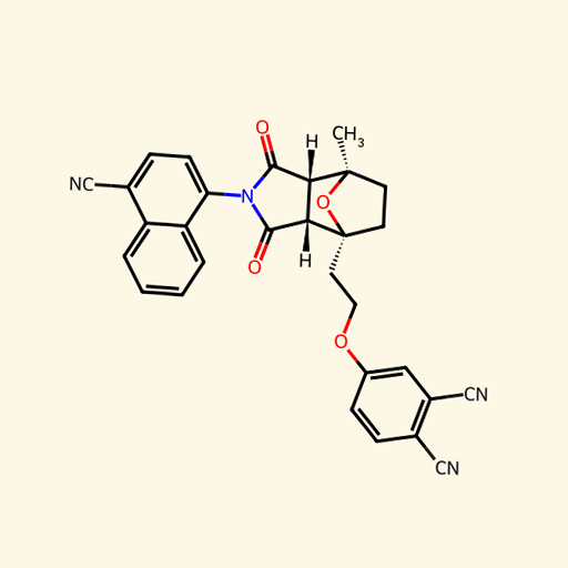 C[C@]12CC[C@](CCOc3ccc(C#N)c(C#N)c3)(O1)[C@@H]1C(=O)N(c3ccc(C#N)c4ccccc34)C(=O)[C@@H]12